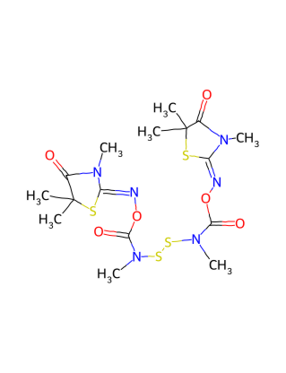 CN(SSN(C)C(=O)ON=C1SC(C)(C)C(=O)N1C)C(=O)ON=C1SC(C)(C)C(=O)N1C